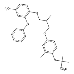 Cc1cc(OCC(C)COc2ccc(C(F)(F)F)cc2Oc2ccccc2)ccc1OC(C)(C)C(=O)O